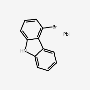 Brc1cccc2[nH]c3ccccc3c12.[Pb]